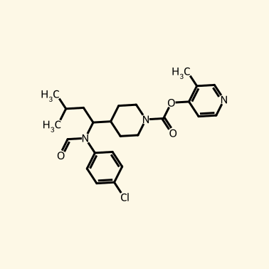 Cc1cnccc1OC(=O)N1CCC(C(CC(C)C)N(C=O)c2ccc(Cl)cc2)CC1